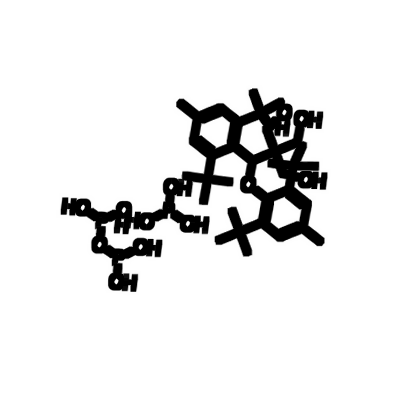 Cc1cc(C(C)(C)C)c(OC(c2c(C(C)(C)C)cc(C)cc2C(C)(C)C)C(CO)(CO)CO)c(C(C)(C)C)c1.OP(O)O.OP(O)OP(O)O